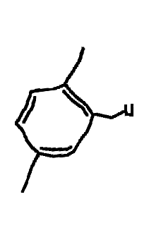 [Li][c]1cc(C)ccc1C